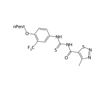 CCCCCOc1ccc(NC(=S)NC(=O)c2snnc2C)cc1C(F)(F)F